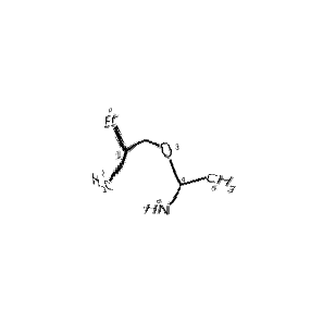 CCC(C)OC(C)[NH]